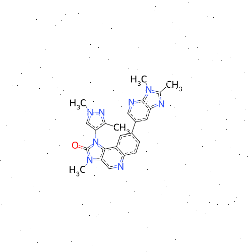 Cc1nn(C)cc1-n1c(=O)n(C)c2cnc3ccc(-c4cnc5c(c4)nc(C)n5C)cc3c21